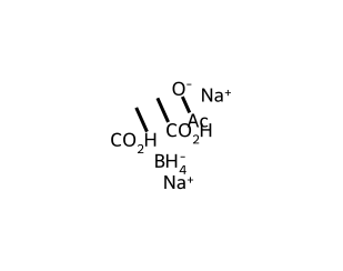 CC(=O)O.CC(=O)O.CC(=O)[O-].[BH4-].[Na+].[Na+]